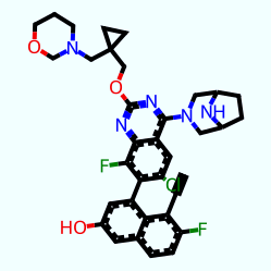 C#Cc1c(F)ccc2cc(O)cc(-c3c(Cl)cc4c(N5CC6CCC(C5)N6)nc(OCC5(CN6CCCOC6)CC5)nc4c3F)c12